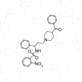 O=C(c1ccccc1)C1CCN(CCC(NS(=O)(=O)c2ccccc2[N+](=O)[O-])c2ccccc2)CC1